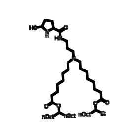 CCCCCCCCC(CC)OC(=O)CCCCCCCN(CCCCCCCC(=O)OC(CCCCCCCC)CCCCCCCC)CCCNC(=O)C1CCC(O)N1